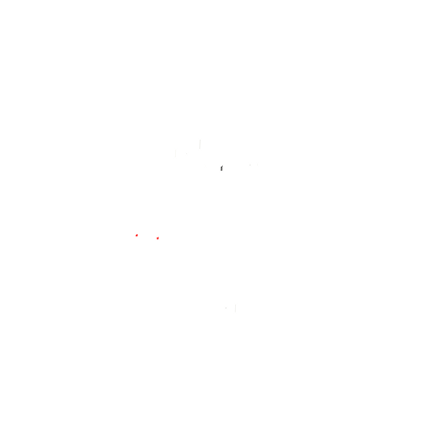 O=P(O)(O)OP(=O)(O)O.Oc1cc(-c2ccccc2)c(Oc2ccccc2)c(-c2ccccc2)c1-c1ccccc1